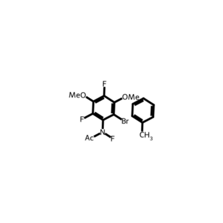 COc1c(F)c(OC)c(Br)c(N(F)C(C)=O)c1F.Cc1ccccc1